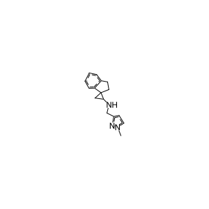 Cn1ccc(CNC2CC23CCc2ccccc23)n1